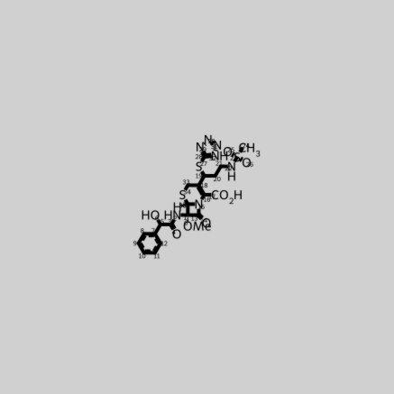 CO[C@@]1(NC(=O)C(O)c2ccccc2)C(=O)N2C(C(=O)O)=C(C(CCNS(C)(=O)=O)Sc3nnn[nH]3)CS[C@H]21